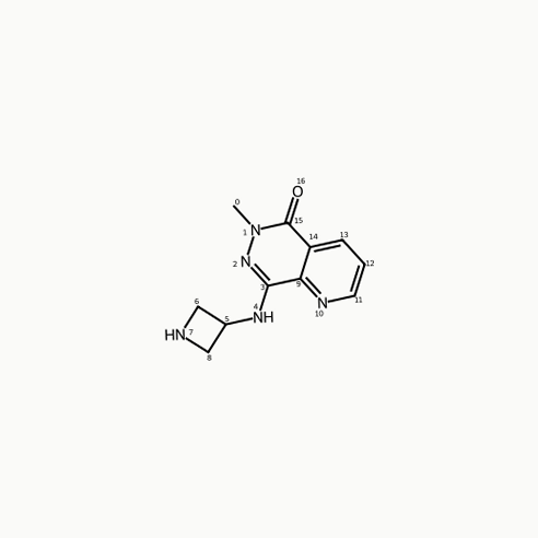 Cn1nc(NC2CNC2)c2ncccc2c1=O